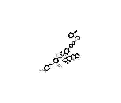 C#Cc1ccccc1[C@@H]1CCCN1C1CC2(C1)CN(c1ccc(C(=O)NS(=O)(=O)c3ccc(NCC4CCC(C)(O)CC4)c([N+](=O)[O-])c3)c(N3c4cc5cc[nH]c5nc4O[C@H]4COC[C@@H]43)c1)C2